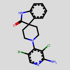 Nc1ncc(Br)c(N2CCC3(CC2)C(=O)Nc2ccccc23)c1Cl